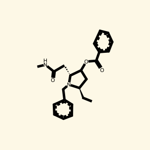 CC[C@@H]1CC(OC(=O)c2ccccc2)[C@@H](CC(=O)NC)N1Cc1ccccc1